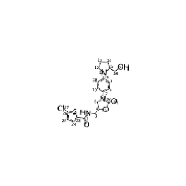 O=C(NCC1CN(c2ccc(N3CCCC3CO)cc2)C(=O)O1)c1ccc(Cl)s1